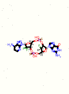 Nc1nc2c(ncn2[C@@H]2O[C@@H]3COP(O)(=S)O[C@@H]4[C@@H](COP(O)(=S)O[C@@H]2[C@@H]3F)O[C@@H](n2nnc3c(N)ccnc32)C4(F)F)c(=O)[nH]1